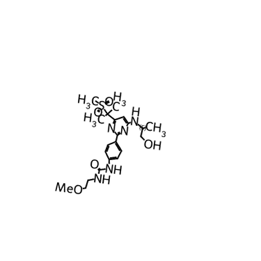 COCCNC(=O)Nc1ccc(-c2nc(N[C@@H](C)CO)cc(C(C)(C)S(C)(=O)=O)n2)cc1